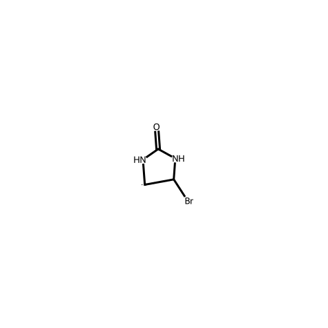 O=C1N[CH]C(Br)N1